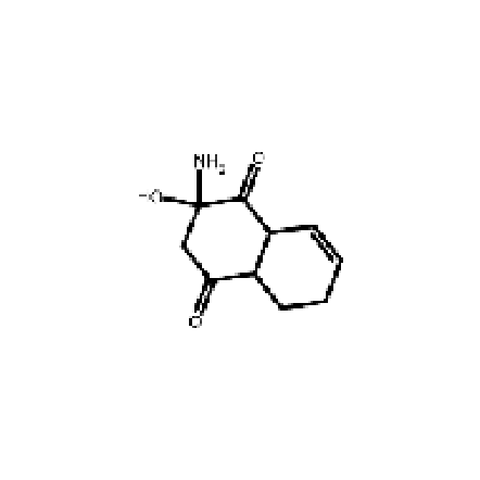 NC1(O)CC(=O)C2CCC=CC2C1=O